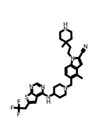 Cc1c(CN2CCC(Nc3ncnc4sc(CC(F)(F)F)cc34)CC2)ccc2c1cc(C#N)n2CCC1(C)CCNCC1